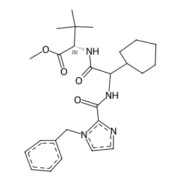 COC(=O)[C@@H](NC(=O)C(NC(=O)c1nccn1Cc1ccccc1)C1CCCCC1)C(C)(C)C